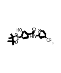 CC1(C)OB(c2ccc(C(=O)Nc3cc(C(F)(F)F)ccn3)cc2O)OC1(C)C